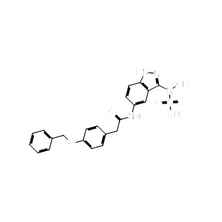 CN(c1n[nH]c2ccc(NC(=O)Cc3ccc(OCc4ccccc4)cc3)cc12)S(C)(=O)=O